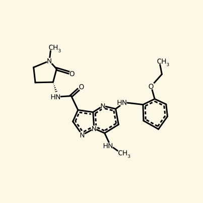 CCOc1ccccc1Nc1cc(NC)n2ncc(C(=O)N[C@@H]3CCN(C)C3=O)c2n1